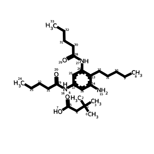 CC(C)(C)CC(=O)O.CCCCCc1c(N)cc(NC(=O)CCCC)cc1NC(=O)CCCC